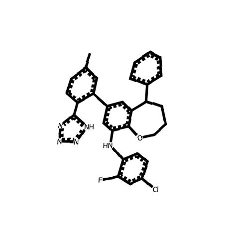 Cc1ccc(-c2nnn[nH]2)c(-c2cc(Nc3ccc(Cl)cc3F)c3c(c2)C(c2ccccc2)CCCO3)c1